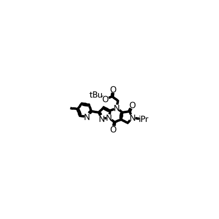 Cc1ccc(-c2cc3n(CC(=O)OC(C)(C)C)c4c(c(=O)n3n2)CN(C(C)C)C4=O)nc1